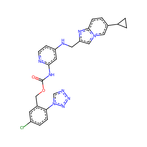 O=C(Nc1cc(NCc2cn3cc(C4CC4)ccc3n2)ccn1)OCc1cc(Cl)ccc1-n1cnnn1